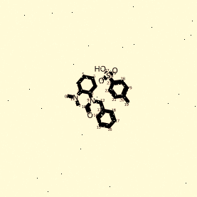 CN(C)C1CCCCC1N(C=O)Cc1ccccc1.Cc1ccc(S(=O)(=O)O)cc1